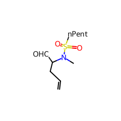 C=CCC(C=O)N(C)S(=O)(=O)CCCCC